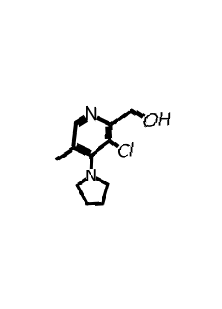 Cc1cnc(CO)c(Cl)c1N1CCCC1